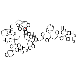 CCC(C)(CC(C)(CCC(C)(CC1C2CCC(C2)C1C)C(=O)OC1(C)CCOC1)C(=O)OC1C2CC3C(=O)OC1C3C2)C(=O)OCC(=O)OC(CC(=O)OC(C)(C)C)C1CC2C=CC1C2